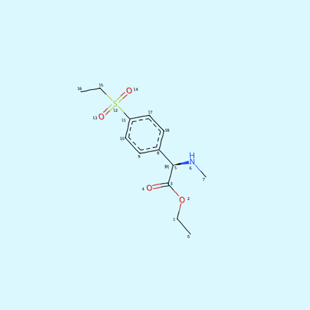 CCOC(=O)[C@H](NC)c1ccc(S(=O)(=O)CC)cc1